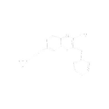 COc1nc2ccc(C#CC3CC3)cc2cc1Cc1ccccc1